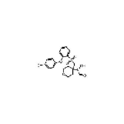 O=CN(O)C1(CS(=O)(=O)c2ccccc2Oc2ccc(Cl)cc2)CCOCC1